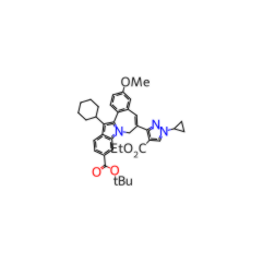 CCOC(=O)c1cn(C2CC2)nc1C1=Cc2cc(OC)ccc2-c2c(C3CCCCC3)c3ccc(C(=O)OC(C)(C)C)cc3n2C1